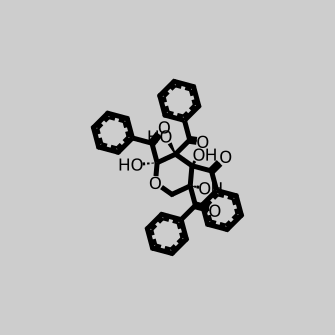 O=C(c1ccccc1)[C@]1(O)[C@@](O)(C(=O)c2ccccc2)[C@@](O)(C(=O)c2ccccc2)CO[C@@]1(O)C(=O)c1ccccc1